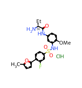 CC[C@H](N)C(=O)Nc1ccc(OC)c(NS(=O)(=O)c2ccc(-c3ccc(C)o3)c(F)c2)c1.Cl